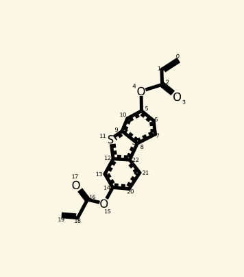 C=CC(=O)Oc1ccc2c(c1)sc1cc(OC(=O)C=C)ccc12